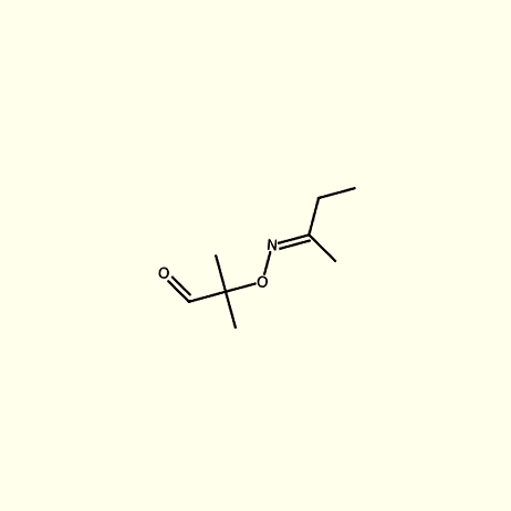 CC/C(C)=N/OC(C)(C)C=O